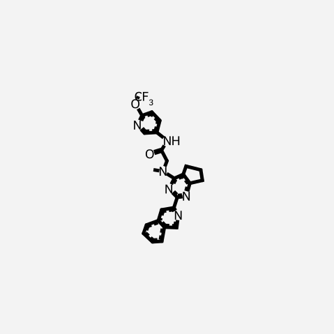 CN(CC(=O)Nc1ccc(OC(F)(F)F)nc1)c1nc(-c2cc3ccccc3cn2)nc2c1CCC2